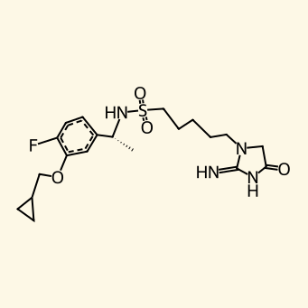 C[C@@H](NS(=O)(=O)CCCCCN1CC(=O)NC1=N)c1ccc(F)c(OCC2CC2)c1